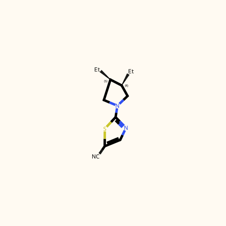 CC[C@@H]1CN(c2ncc(C#N)s2)C[C@@H]1CC